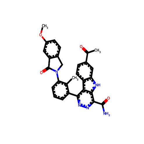 COc1ccc2c(c1)C(=O)N(c1cccc(-c3nnc(C(N)=O)c4[nH]c5cc(C(C)=O)ccc5c34)c1C)C2